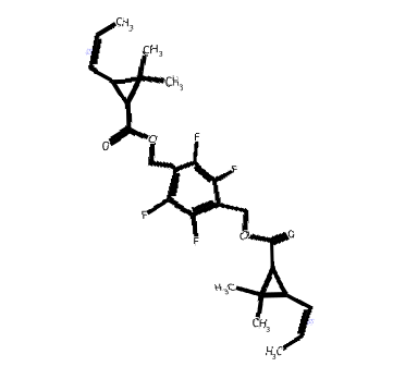 C/C=C\C1C(C(=O)OCc2c(F)c(F)c(COC(=O)C3C(/C=C\C)C3(C)C)c(F)c2F)C1(C)C